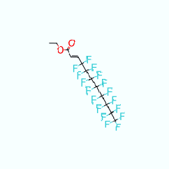 CCOC(=O)C=CC(F)(F)C(F)(F)C(F)(F)C(F)(F)C(F)(F)C(F)(F)C(F)(F)C(F)(F)F